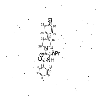 CCCC(NC(=O)c1ccccc1C)C(=O)N1CCC(c2ccc(Cl)cc2)CC1